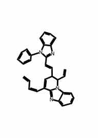 C=C/C=C\C1=CC(/C=C/c2nc3ccccc3n2-c2ccccc2)C(C=C)n2c1nc1ccccc12